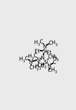 CC[Si](CC)(N(C)C)N([Si](C)(C)N(C)C)[Si](C)(C)N(C)C